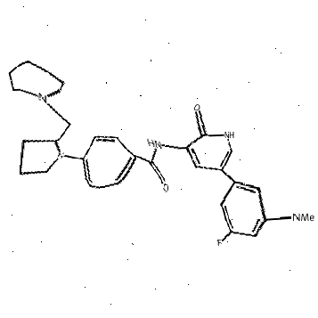 CNc1cc(F)cc(-c2c[nH]c(=O)c(NC(=O)c3ccc(N4CCCC4CN4CCCC4)cc3)c2)c1